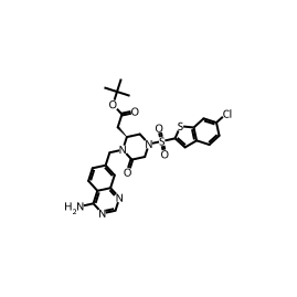 CC(C)(C)OC(=O)C[C@H]1CN(S(=O)(=O)c2cc3ccc(Cl)cc3s2)CC(=O)N1Cc1ccc2c(N)ncnc2c1